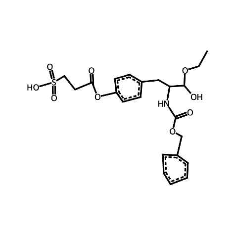 CCOC(O)C(Cc1ccc(OC(=O)CCS(=O)(=O)O)cc1)NC(=O)OCc1ccccc1